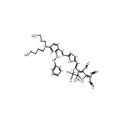 CCCCN(CCCCO)c1ccc(C=Cc2ccc(C=CC3=C(C#N)C(=C(C#N)C#N)OC3(C)C(F)(F)F)s2)c(OCc2ccccc2)c1